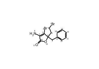 NC1=C(Br)C(CCBr)(Cc2ccccc2)OC1=O